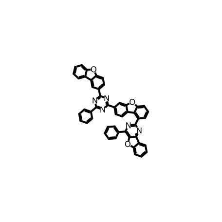 c1ccc(-c2nc(-c3ccc4c(c3)oc3cccc(-c5nc(-c6ccccc6)c6oc7ccccc7c6n5)c34)nc(-c3ccc4oc5ccccc5c4c3)n2)cc1